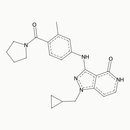 Cc1cc(Nc2nn(CC3CC3)c3cc[nH]c(=O)c23)ccc1C(=O)N1CCCC1